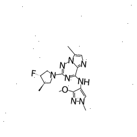 COc1nn(C)cc1Nc1nc(N2C[C@@H](C)[C@H](F)C2)nn2c(C)cnc12